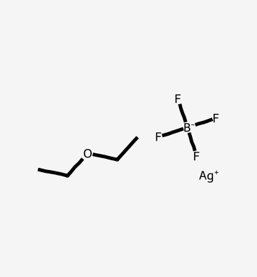 CCOCC.F[B-](F)(F)F.[Ag+]